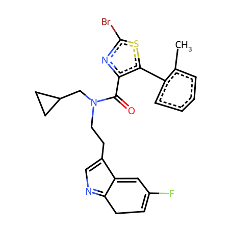 Cc1ccccc1-c1sc(Br)nc1C(=O)N(CCC1=CN=C2CC=C(F)C=C12)CC1CC1